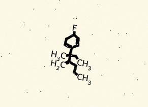 C=C(CCC)C(C)(CC)C1=CCC(F)C=C1